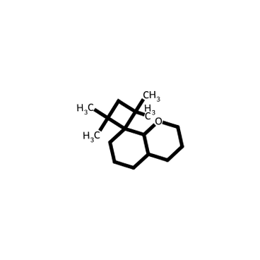 CC1(C)CC(C)(C)C12CCCC1CCCOC12